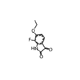 CCOc1ccc2c(c1F)NC(=O)C2=O